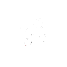 c1ccc(C[N+](Cc2ccccn2)(Cc2ccccn2)C(c2ccccn2)c2ccccn2)cc1